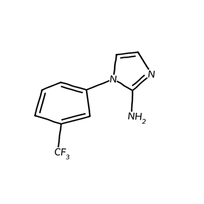 Nc1nccn1-c1cccc(C(F)(F)F)c1